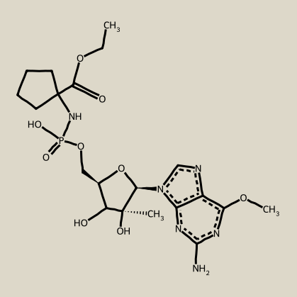 CCOC(=O)C1(NP(=O)(O)OC[C@H]2O[C@@H](n3cnc4c(OC)nc(N)nc43)[C@@](C)(O)C2O)CCCC1